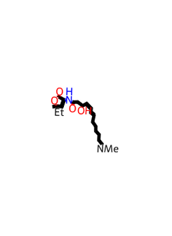 CC[C@@]1(C)C=C(NC(=O)C[C@@H](O)/C=C\C=C\CCCCCCNC)C(=O)O1